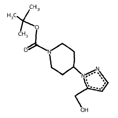 CC(C)(C)OC(=O)N1CCC(n2nccc2CO)CC1